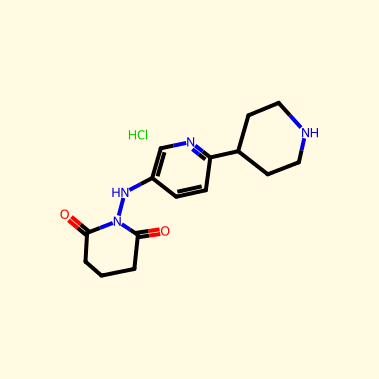 Cl.O=C1CCCC(=O)N1Nc1ccc(C2CCNCC2)nc1